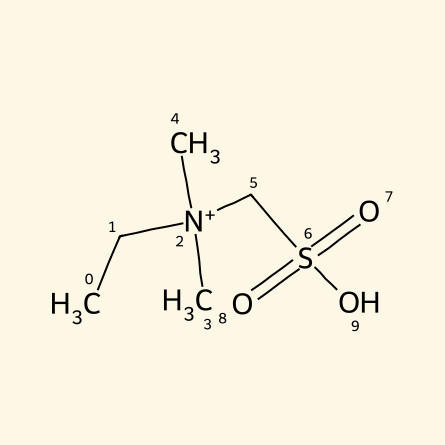 CC[N+](C)(C)CS(=O)(=O)O